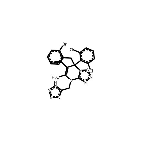 CC1=C(C(=O)O)C(Cc2ccccc2Br)(c2c(Cl)cccc2Cl)n2nnnc2N1Cc1nnn[nH]1